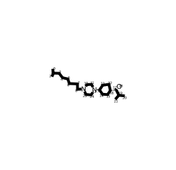 CC(C)CCCCCCN1CCN([C@H]2CC[C@@H](C(=O)C(C)C)CC2)CC1